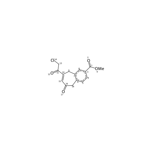 COC(=O)c1ccc2c(c1)CC(C(=O)CCl)=CC(=O)C2